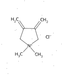 C=C1C[N+](C)(C)CC1=C.[Cl-]